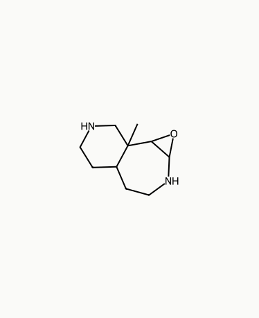 CC12CNCCC1CCNC1OC12